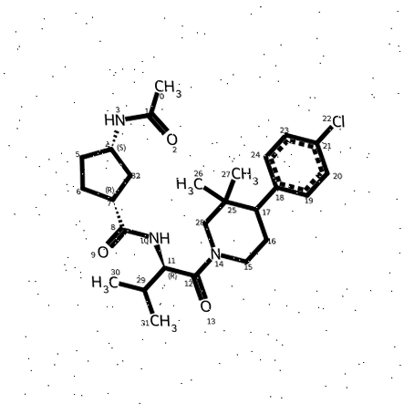 CC(=O)N[C@H]1CC[C@@H](C(=O)N[C@@H](C(=O)N2CCC(c3ccc(Cl)cc3)C(C)(C)C2)C(C)C)C1